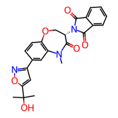 CN1C(=O)[C@@H](N2C(=O)c3ccccc3C2=O)COc2ccc(-c3cc(C(C)(C)O)on3)cc21